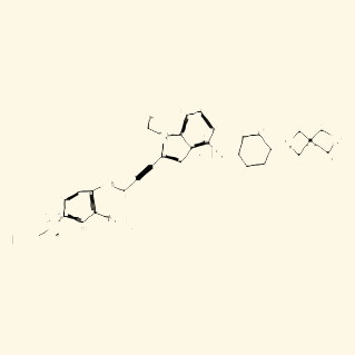 CS(=O)(=O)c1ccc(OCC#Cc2cc3c(N[C@H]4CC[C@@H](N5CC6(COC6)C5)CC4)cccc3n2CC(F)(F)F)c(N)c1